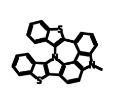 Cn1c2cccc3c4sc5ccccc5c4n4c5c6ccccc6sc5c5ccc1c(c32)c54